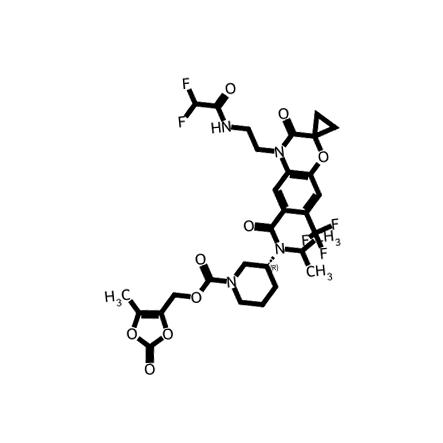 Cc1oc(=O)oc1COC(=O)N1CCC[C@@H](N(C(=O)c2cc3c(cc2C(F)(F)F)OC2(CC2)C(=O)N3CCNC(=O)C(F)F)C(C)C)C1